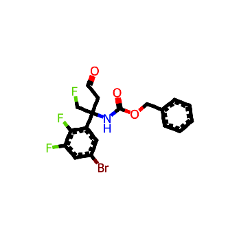 O=CCC(CF)(NC(=O)OCc1ccccc1)c1cc(Br)cc(F)c1F